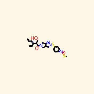 C=C/C=C(\C=C)C(CO)C(=O)N1Cc2cn(Sc3ccc4c(c3)N4OSC)nc2C1